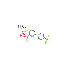 CC[S+]([O-])c1ccc(-c2ccc(C(F)(F)F)cc2)nc1C(=O)O